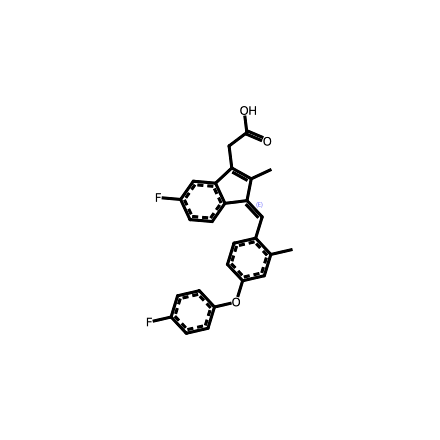 CC1=C(CC(=O)O)c2cc(F)ccc2/C1=C\c1ccc(Oc2ccc(F)cc2)cc1C